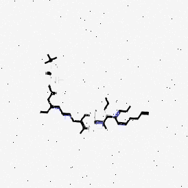 C=CCC/C=C\C(=C/CC)[C@H](CCC)/C(C)=C1/NC(C)=C(C/C=C/C=C(\CC)CC(=O)CNC(=O)OC(C)(C)C)CN1C